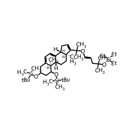 CC[Si](CC)(CC)OC(C)(C)CC=COC(C)(C)C1=CC[C@H]2C3=CC=C4CC(O[Si](C)(C)C(C)(C)C)CC(O[Si](C)(C)C(C)(C)C)[C@]4(C)[C@H]3CC[C@]12C